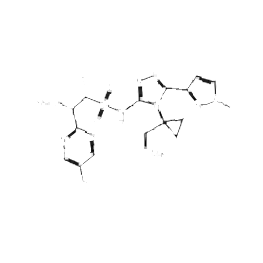 COCC1(n2c(NS(=O)(=O)[C@@H](C)[C@H](OC)c3ncc(Cl)cn3)nnc2-c2ccn(C)n2)CC1